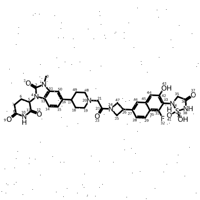 Cn1c(=O)n(C2CCC(=O)NC2=O)c2ccc(C3CCN(CC(=O)N4CC(c5ccc6c(F)c(N7CC(=O)NS7(O)O)c(O)cc6c5)C4)CC3)cc21